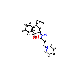 CCCC(NCCCN1CCCCC1)C(O)c1ccccc1